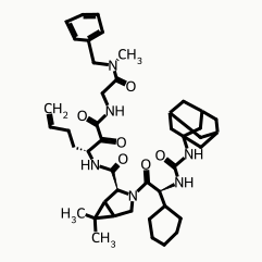 C=CCC[C@@H](NC(=O)[C@@H]1C2C(CN1C(=O)[C@@H](NC(=O)NC13CC4CC(CC(C4)C1)C3)C1CCCCC1)C2(C)C)C(=O)C(=O)NCC(=O)N(C)Cc1ccccc1